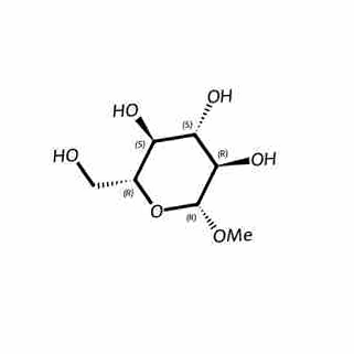 [CH2]O[C@@H]1O[C@H](CO)[C@@H](O)[C@H](O)[C@H]1O